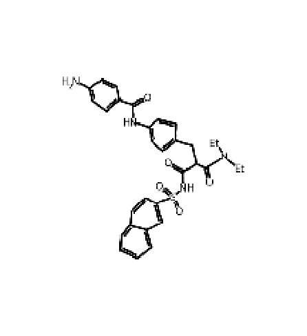 CCN(CC)C(=O)C(Cc1ccc(NC(=O)c2ccc(N)cc2)cc1)C(=O)NS(=O)(=O)c1ccc2ccccc2c1